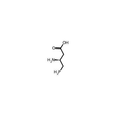 N[C@H](CP)CC(=O)O